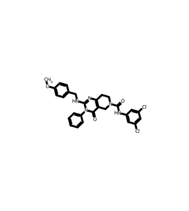 COc1ccc(CNc2nc3c(c(=O)n2-c2ccccc2)CN(C(=O)Nc2cc(Cl)cc(Cl)c2)CC3)cc1